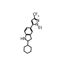 CCn1nc(C(F)(F)F)cc1-c1ccc2c(c1)CC(C1CCCCC1)N2